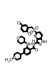 CN1CCC(c2ccc(C(=O)Nc3n[nH]c4ccc(S(=O)(=O)Cc5cc(Cl)ccc5Cl)nc34)c(NC3CCOCC3)c2)CC1